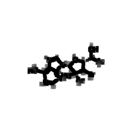 CC(=O)C(O)[C@H]1O[C@@H](n2cnc3c(O)ncnc32)[C@@](O)(C(C)=O)C1Br